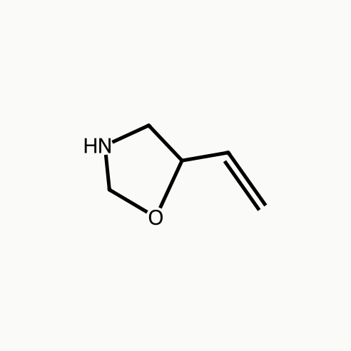 C=CC1CNCO1